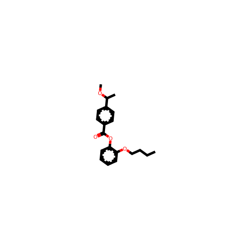 CCCCOc1ccccc1OC(=O)c1ccc(C(C)OC)cc1